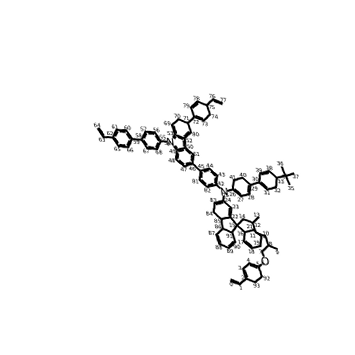 C=CC1=CC=C(OCC(C)CCC(C)CC2(C3C=CCCC3)C3=CC(N(C4=CC=C(C5=CCC(C(C)(C)C)C=C5)CC4)c4ccc(-c5ccc6c(c5)c5c(n6-c6ccc(-c7ccc(C=C)cc7)cc6)=CCC(C6=CCC(C=C)C=C6)C=5)cc4)=CCC3C3C=CC=CC32)CC1